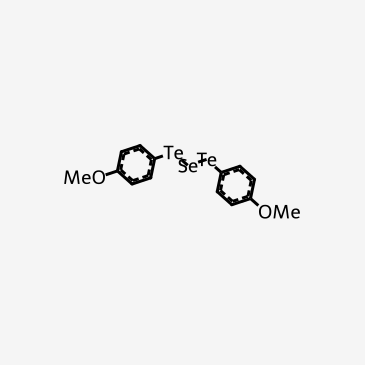 COc1ccc([Te][Se][Te]c2ccc(OC)cc2)cc1